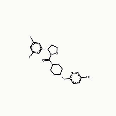 Cc1ccc(C[C@H]2CC[C@H](C(=O)N3OCC[C@H]3c3cc(F)cc(F)c3)CC2)nn1